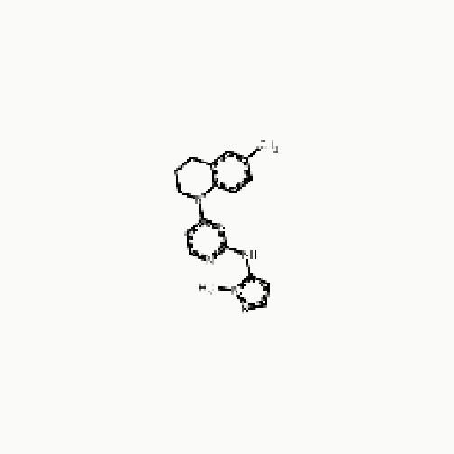 Cc1ccc2c(c1)CCCN2c1ccnc(Nc2ccnn2C)n1